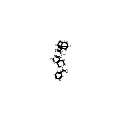 O=C(c1ccccc1)N1CCc2c(ncnc2NC(=O)C23CC4CC(CC(C4)C2)C3)C1